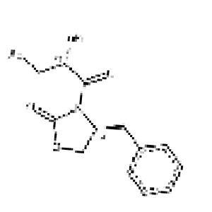 CCC[C@@H](CC(C)=O)C(=O)N1C(=O)OC[C@@H]1Cc1ccccc1